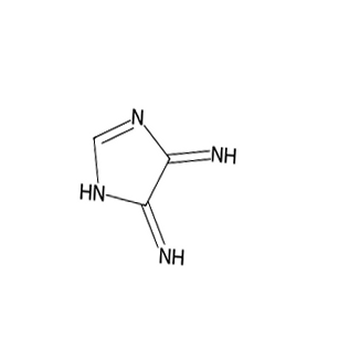 N=C1N=CNC1=N